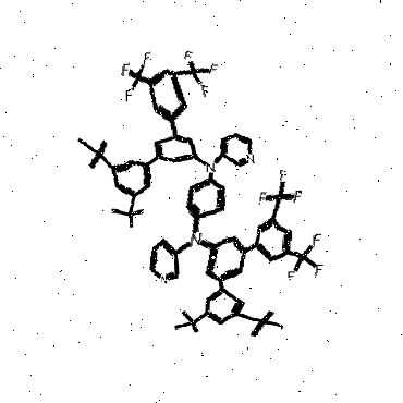 CC(C)(C)c1cc(-c2cc(-c3cc(C(F)(F)F)cc(C(F)(F)F)c3)cc(N(c3ccc(N(c4cccnc4)c4cc(-c5cc(C(C)(C)C)cc(C(C)(C)C)c5)cc(-c5cc(C(F)(F)F)cc(C(F)(F)F)c5)c4)cc3)c3cccnc3)c2)cc(C(C)(C)C)c1